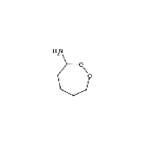 NC1CCCCOO1